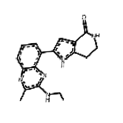 CCNc1nc2c(-c3cc4c([nH]3)CCNC4=O)cccc2nc1C